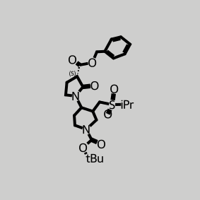 CC(C)S(=O)(=O)CC1CN(C(=O)OC(C)(C)C)CCC1N1CC[C@H](C(=O)OCc2ccccc2)C1=O